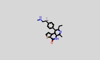 CCc1nc(C)c2[nH]c(=O)c3sccc3c2c1-c1ccc([C@@H](C)CNC)cc1